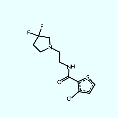 O=C(NCCN1CCC(F)(F)C1)c1sccc1Cl